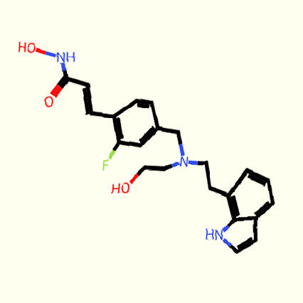 O=C(/C=C/c1ccc(CN(CCO)CCc2cccc3cc[nH]c23)cc1F)NO